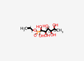 C=CCOP(=O)(O)C(O)C(O)C(O)C(O)C(C)O